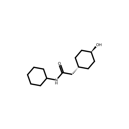 O=C(C[C@H]1CC[C@H](O)CC1)NC1CCCCC1